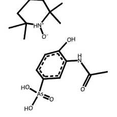 CC(=O)Nc1cc([As](=O)(O)O)ccc1O.CC1(C)CCCC(C)(C)[NH+]1[O-]